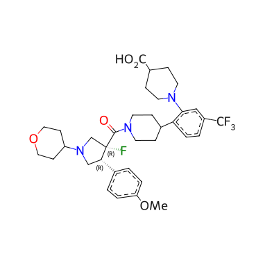 COc1ccc([C@@H]2CN(C3CCOCC3)C[C@@]2(F)C(=O)N2CCC(c3ccc(C(F)(F)F)cc3N3CCC(C(=O)O)CC3)CC2)cc1